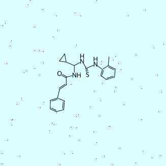 Cc1ccccc1NC(=S)NC(NC(=O)C=Cc1ccccc1)C1CC1